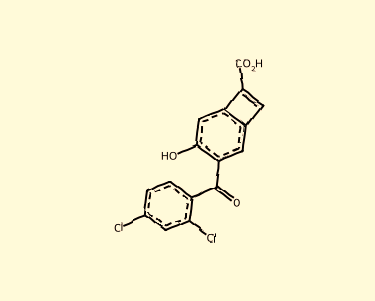 O=C(O)C1=Cc2cc(C(=O)c3ccc(Cl)cc3Cl)c(O)cc21